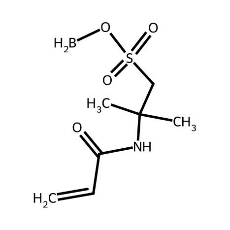 BOS(=O)(=O)CC(C)(C)NC(=O)C=C